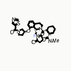 CNC(=O)[C@H]1CCCC[C@H]1C(=O)N1CCc2cccc(O[C@H]3CCN(C(=O)c4cncs4)C3)c2[C@H]1/C=[N+]1\CCCC1=O